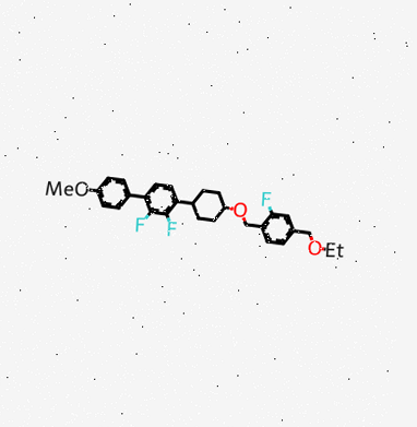 CCOCc1ccc(COC2CCC(c3ccc(-c4ccc(OC)cc4)c(F)c3F)CC2)c(F)c1